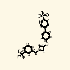 CS(=O)(=O)c1ccc(-c2ccc(OC3CN(Cc4cccc(C(F)(F)F)c4)C3)cc2)cn1